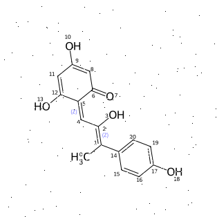 C/C(=C(O)\C=C1/C(=O)C=C(O)C=C1O)c1ccc(O)cc1